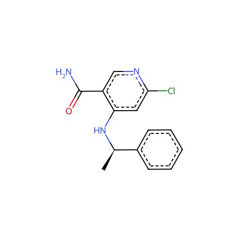 C[C@@H](Nc1cc(Cl)ncc1C(N)=O)c1ccccc1